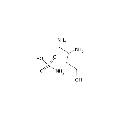 NCC(N)CCO.NS(=O)(=O)O